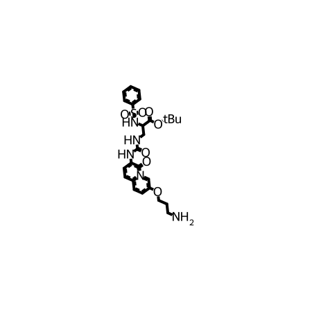 CC(C)(C)OC(=O)C(CNC(=O)Nc1ccc2ccc(OCCCN)cn2c1=O)NS(=O)(=O)c1ccccc1